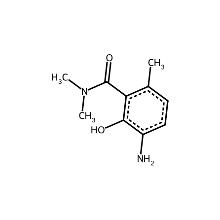 Cc1ccc(N)c(O)c1C(=O)N(C)C